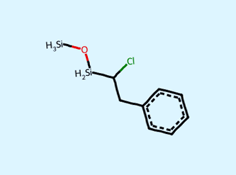 [SiH3]O[SiH2]C(Cl)Cc1ccccc1